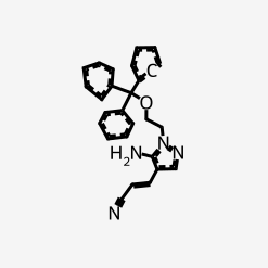 N#CC=Cc1cnn(CCOC(c2ccccc2)(c2ccccc2)c2ccccc2)c1N